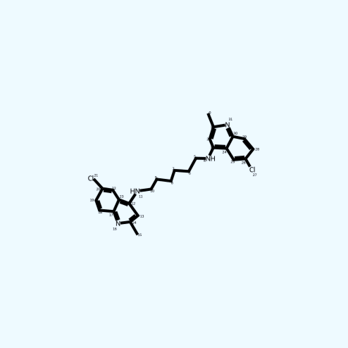 Cc1cc(NCCCCCCNc2cc(C)nc3ccc(Cl)cc23)c2cc(Cl)ccc2n1